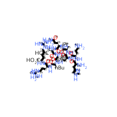 CCCC[C@H](NC(=O)[C@@H](NC(=O)[C@H](CC(=O)O)NC(=O)[C@H](CCC(N)=O)NC(=O)[C@H](CC(C)C)NC(=O)[C@H](CC(C)C)NC(=O)[C@H](CCCN)NC(=O)[C@@H](N)Cc1c[nH]cn1)[C@@H](C)CC)C(=O)N[C@H](CCCNC(=N)N)C(=O)N[C@@H](CCCCNC(=N)N)C(=O)O